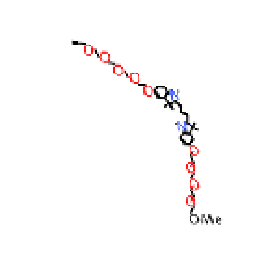 C#CCOCCOCCOCCOCCOc1ccc2c(c1)C(C)(C)/C(=C\C=C\C1=[N+](C)c3ccc(OCCOCCOCCOCCOC)cc3C1(C)C)N2C